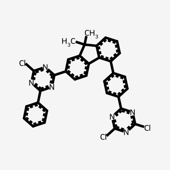 CC1(C)c2cc(-c3nc(Cl)nc(-c4ccccc4)n3)ccc2-c2c(-c3ccc(-c4nc(Cl)nc(Cl)n4)cc3)cccc21